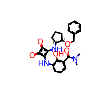 CN(C)C(=O)c1cccc(Nc2c(N[C@H]3CCC[C@@H]3OCc3ccccc3)c(=O)c2=O)c1O